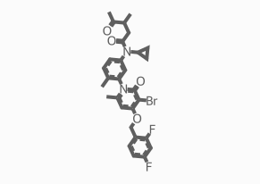 CC(=O)C(C)CC(=O)N(c1ccc(C)c(-n2c(C)cc(OCc3ccc(F)cc3F)c(Br)c2=O)c1)C1CC1